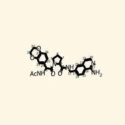 CC(=O)NC(C(=O)N1CCCC1C(=O)NCc1ccc2c(N)nccc2c1)c1ccc2c(c1)OCCO2